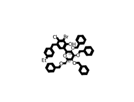 CCc1ccc(Cc2cc(C3O[C@H](COCc4ccccc4)[C@@H](OCc4ccccc4)[C@H](OCc4ccccc4)[C@H]3OCc3ccccc3)c(O)c(Br)c2Cl)cc1